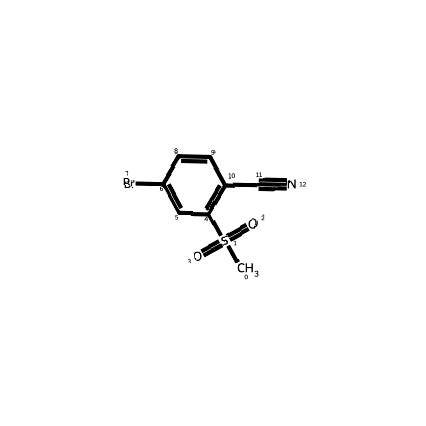 CS(=O)(=O)c1cc(Br)ccc1C#N